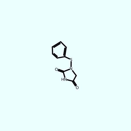 O=C1CN(Sc2ccccc2)C(=O)N1